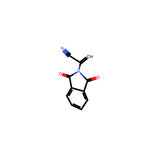 [CH]=C(C#N)N1C(=O)c2ccccc2C1=O